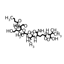 CCCC(=O)N[C@@H](C=O)[C@@H](OC(C)C(=O)NC(C)C(=O)NC(CCC(=O)NC(C(=O)O)C(C)C)C(N)=O)[C@H](O)[C@H](O)CO